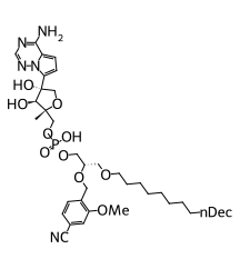 CCCCCCCCCCCCCCCCCCOC[C@@H](COP(=O)(O)OC[C@@]1(C)OC[C@](O)(c2ccc3c(N)ncnn23)[C@@H]1O)OCc1ccc(C#N)cc1OC